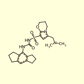 CN(C)Cc1cc(S(=O)(=O)NC(=O)Nc2c3c(cc4c2CCC4)CCC3)c2n1CCCO2